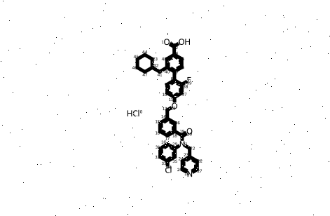 Cl.O=C(O)c1ccc(-c2ccc(OCc3cccc(C(=O)N(Cc4ccncc4)c4cccc(Cl)c4)c3)cc2F)c(CC2CCCCC2)c1